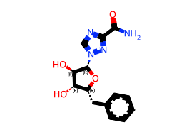 NC(=O)c1ncn([C@@H]2O[C@H](Cc3cc[c]cc3)[C@H](O)[C@H]2O)n1